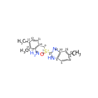 Cc1ccc2[nH]c([S+]([O-])Cc3ccc(C)c(C)c3N)nc2c1